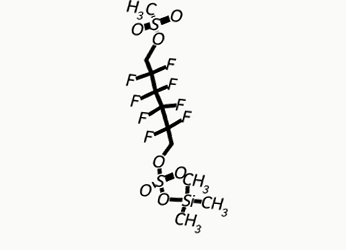 C[Si](C)(C)OS(=O)(=O)OCC(F)(F)C(F)(F)C(F)(F)C(F)(F)COS(C)(=O)=O